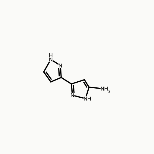 Nc1cc(-c2cc[nH]n2)n[nH]1